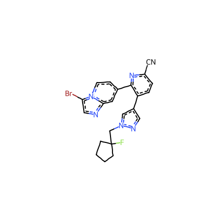 N#Cc1ccc(-c2cnn(CC3(F)CCCC3)c2)c(-c2ccn3c(Br)cnc3c2)n1